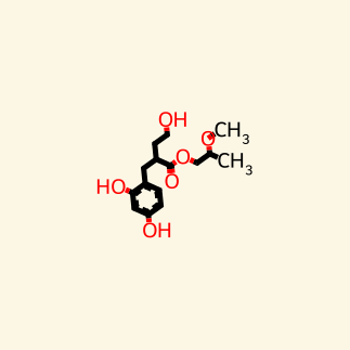 COC(C)COC(=O)C(CCO)Cc1ccc(O)cc1O